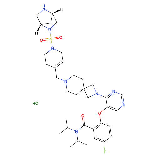 CC(C)N(C(=O)c1cc(F)ccc1Oc1cncnc1N1CC2(CCN(CC3=CCN(S(=O)(=O)N4C[C@@H]5C[C@H]4CN5)CC3)CC2)C1)C(C)C.Cl